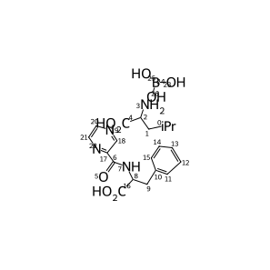 CC(C)CC(N)C(=O)O.O=C(NC(Cc1ccccc1)C(=O)O)c1cnccn1.OB(O)O